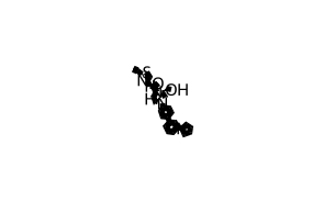 C#Cc1nc(NC(=O)N2CCN(c3ccc(-c4cccc(N5CCCC5)c4)cc3)C[C@@H]2CO)cs1